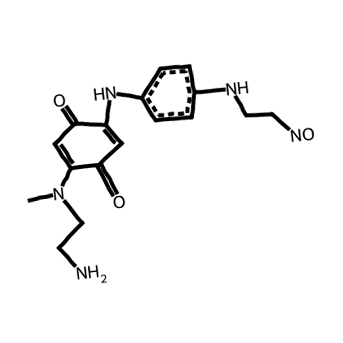 CN(CCN)C1=CC(=O)C(Nc2ccc(NCCN=O)cc2)=CC1=O